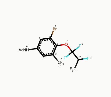 CC(=O)Nc1cc(Br)c(OC(F)(F)C(F)C(F)(F)F)c(C(F)(F)F)c1